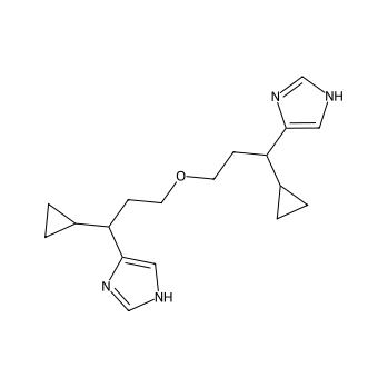 c1nc(C(CCOCCC(c2c[nH]cn2)C2CC2)C2CC2)c[nH]1